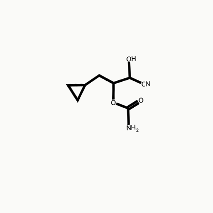 N#CC(O)C(CC1CC1)OC(N)=O